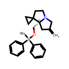 C=C1CN2CCC3(CC3)[C@]2(CO[Si](c2ccccc2)(c2ccccc2)C(C)(C)C)C1